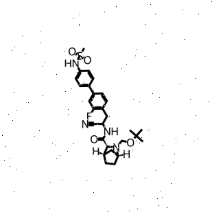 CC(C)(C)OCN1[C@@H]2CC[C@@H](C2)[C@H]1C(=O)NC(C#N)Cc1ccc(-c2ccc(NS(C)(=O)=O)cc2)cc1F